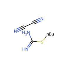 CCCCSC(=N)N.N#CC#N